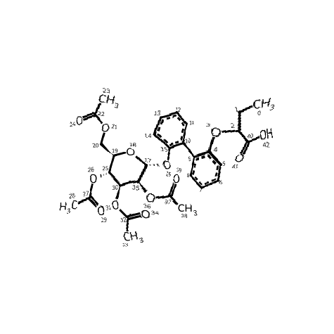 CCC(Oc1ccccc1-c1ccccc1O[C@H]1O[C@H](COC(C)=O)[C@@H](OC(C)=O)[C@H](OC(C)=O)[C@@H]1OC(C)=O)C(=O)O